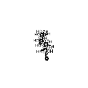 NC1[C@H](O[C@@H]2C(O)[C@H](O[C@@H]3C(CO)O[C@@H](OCc4ccccc4)C(O)[C@H]3O)OC(CO)[C@@H]2O)OC(CO)[C@@H](O)[C@@H]1O[C@@H]1OC(CO)[C@H](O)[C@H](O)C1O